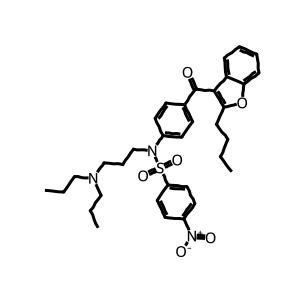 CCCCc1oc2ccccc2c1C(=O)c1ccc(N(CCCN(CCC)CCC)S(=O)(=O)c2ccc([N+](=O)[O-])cc2)cc1